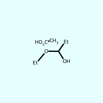 CC(=O)O.CCOC(O)CC